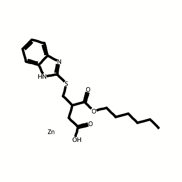 CCCCCCOC(=O)C(CSc1nc2ccccc2[nH]1)CC(=O)O.[Zn]